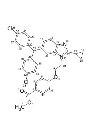 COC(=O)c1ccc(OCCn2c(C3CC3)nc3ccc(C(c4ccc(Cl)cc4)c4ccc(Cl)cc4)cc32)cc1